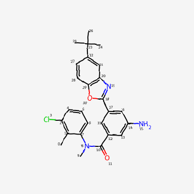 Cc1c(Cl)cccc1N(C)C(=O)c1cc(N)cc(-c2nc3cc(C(C)(C)C)ccc3o2)c1